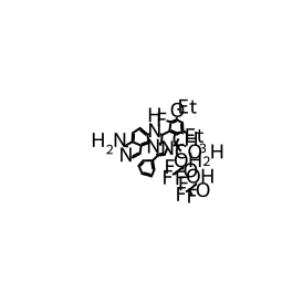 CCOc1cc(CC)cc(C(Nc2ccc3c(N)nccc3c2)c2nc(-c3ccccc3)cn2C(C)C(=O)O)c1F.O=C(O)C(F)(F)F.O=C(O)C(F)(F)F